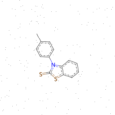 Cc1ccc(-n2c(=S)sc3ccccc32)cc1